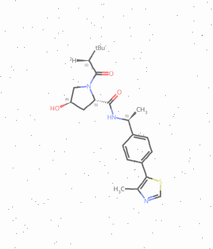 [2H][C@H](C(=O)N1C[C@H](O)C[C@H]1C(=O)N[C@@H](C)c1ccc(-c2scnc2C)cc1)C(C)(C)C